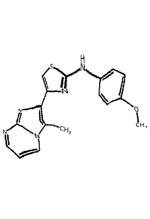 COc1ccc(Nc2nc(-c3nc4ncccn4c3C)cs2)cc1